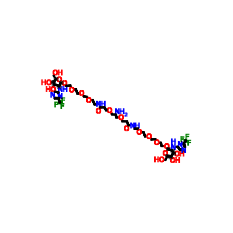 NC(COCCC(=O)NCCOCCOCCOCCO[C@@H]1O[C@H](CO)[C@H](O)[C@H](O)[C@H]1Nc1cncc(C(F)(F)F)n1)COCCC(=O)NCCOCCOCCOCCO[C@@H]1O[C@H](CO)[C@H](O)[C@H](O)[C@H]1Nc1cncc(C(F)(F)F)n1